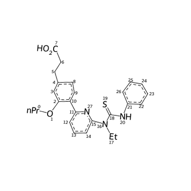 CCCOc1cc(CCC(=O)O)ccc1-c1cccc(N(CC)C(=S)Nc2ccccc2)n1